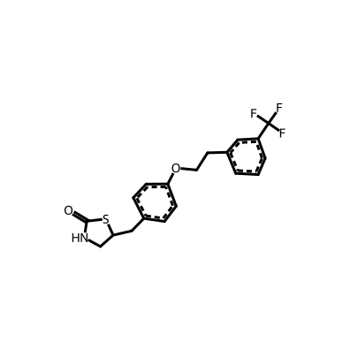 O=C1NCC(Cc2ccc(OCCc3cccc(C(F)(F)F)c3)cc2)S1